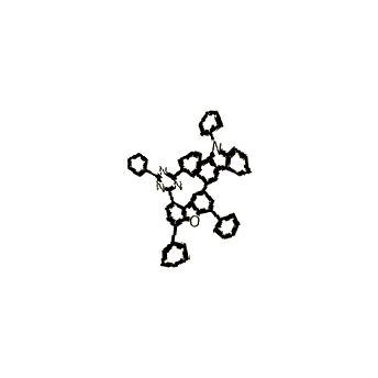 c1ccc(-c2nc(-c3ccccc3)nc(-c3ccc(-c4ccccc4)c4oc5c(-c6ccccc6)cc(-c6ccc7c(c6)c6ccccc6n7-c6ccccc6)cc5c34)n2)cc1